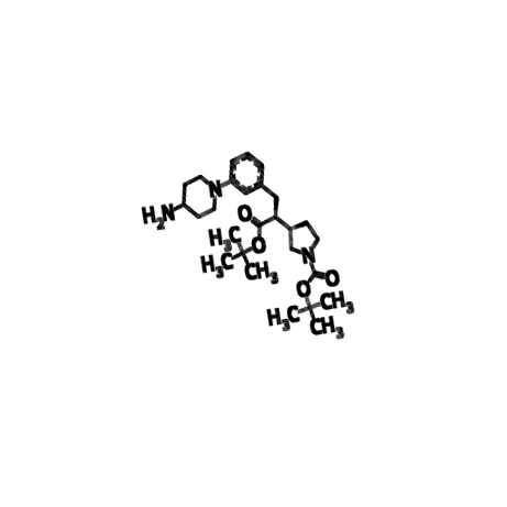 CC(C)(C)OC(=O)[C@@H](Cc1cccc(N2CCC(N)CC2)c1)[C@H]1CCN(C(=O)OC(C)(C)C)C1